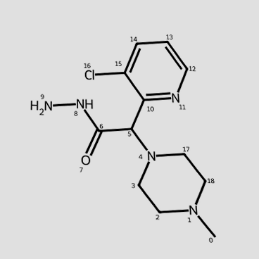 CN1CCN(C(C(=O)NN)c2ncccc2Cl)CC1